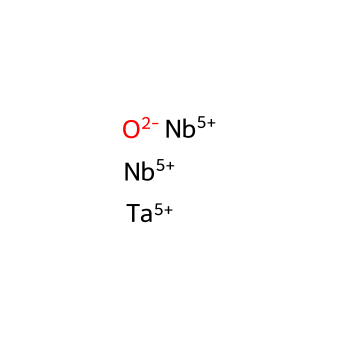 [Nb+5].[Nb+5].[O-2].[Ta+5]